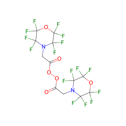 O=C(CN1C(F)(F)C(F)(F)OC(F)(F)C1(F)F)OOC(=O)CN1C(F)(F)C(F)(F)OC(F)(F)C1(F)F